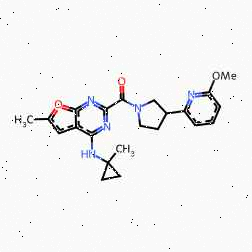 COc1cccc(C2CCN(C(=O)c3nc(NC4(C)CC4)c4cc(C)oc4n3)C2)n1